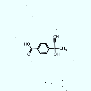 C#CC(C)(O)c1ccc(C(=O)O)cc1